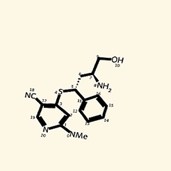 CNc1cc(S[C@H](C[C@H](N)CO)c2ccccc2)c(C#N)cn1